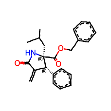 C=C1C(=O)N[C@@](CC(C)C)(C(=O)OCc2ccccc2)[C@@H]1c1ccccc1